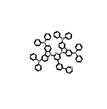 c1ccc(N(c2ccccc2)c2ccc3c(c2)c2cc(N(c4ccccc4)c4ccccc4)ccc2n3-c2cc(-c3cccc(-c4cccnc4)c3)cc(-n3c4ccc(N(c5ccccc5)c5ccccc5)cc4c4cc(N(c5ccccc5)c5ccccc5)ccc43)n2)cc1